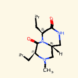 CC(C)C[C@H]1C(=O)N2[C@H](CNC(=O)[C@@H]2CC(C)C)CN1C